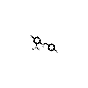 O=[N+]([O-])c1cc(Cl)cnc1NCc1ccc(Cl)cc1